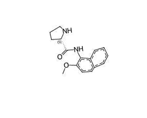 COc1ccc2ccccc2c1NC(=O)[C@@H]1CCCN1